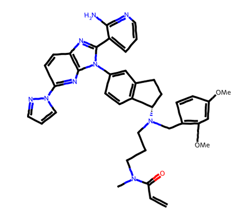 C=CC(=O)N(C)CCCN(Cc1ccc(OC)cc1OC)[C@H]1CCc2cc(-n3c(-c4cccnc4N)nc4ccc(-n5cccn5)nc43)ccc21